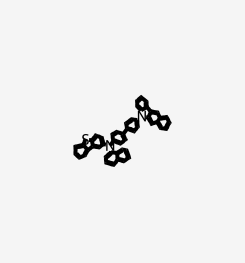 c1ccc2cc3c(cc2c1)c1ccccc1n3-c1ccc(-c2ccc(N(c3ccc4sc5ccccc5c4c3)c3cccc4ccccc34)cc2)cc1